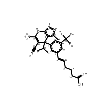 Cc1n[nH]c2c1C(c1cc(/C=C/CCCC(=O)O)cc(C(F)(F)F)c1)(C(C)C)C(C#N)=C(N)O2